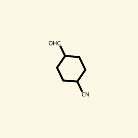 N#CC1CCC(C=O)CC1